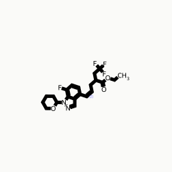 CCOC(=O)C(C/C=C\c1ccc(F)c2c1cnn2C1CCCCO1)CC(F)(F)F